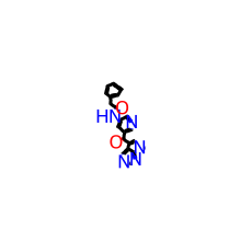 Cn1cc(C(=O)c2cncc(NC(=O)Cc3ccccc3)c2)c2cncnc21